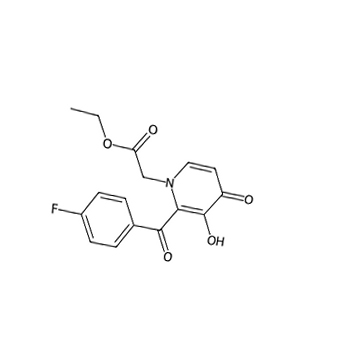 CCOC(=O)Cn1ccc(=O)c(O)c1C(=O)c1ccc(F)cc1